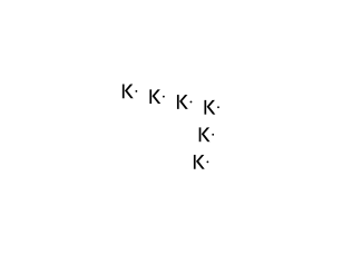 [K].[K].[K].[K].[K].[K]